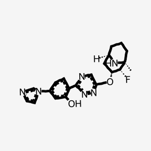 C[C@]12CCC[C@H](C[C@@H](Oc3cnc(-c4ccc(-n5ccnc5)cc4O)nn3)[C@H]1F)N2